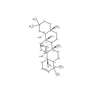 CC1(C)CC[C@]2(C)CC[C@]3(C(=O)O)[C@H](CC[C@@H]4[C@@]5(C)CC=CC(C)(C)C5CC[C@]43C)[C@H]2C1